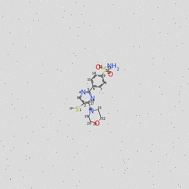 CSc1cnc(-c2ccc(S(N)(=O)=O)cc2)nc1N1CCOCC1